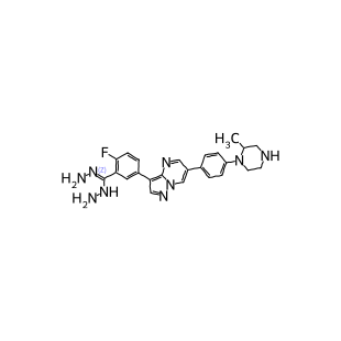 CC1CNCCN1c1ccc(-c2cnc3c(-c4ccc(F)c(/C(=N/N)NN)c4)cnn3c2)cc1